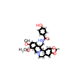 COc1ccc2c(CNC(=O)c3ccc(O)cc3)c3[n+](cc2c1OC)CCc1cc2c(cc1-3)OCO2